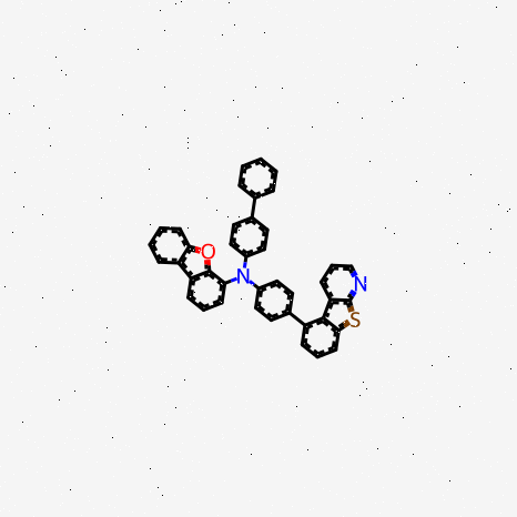 c1ccc(-c2ccc(N(c3ccc(-c4cccc5sc6ncccc6c45)cc3)c3cccc4c3oc3ccccc34)cc2)cc1